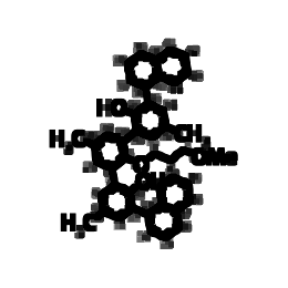 COCCCOc1c(-c2cc(C)cc(-c3cccc4ccccc34)c2O)cc(C)cc1-c1cc(C)cc(-c2cccc3ccccc23)c1O